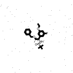 CCOc1cc(F)cc([C@H](N[S@@+]([O-])C(C)(C)C)[C@H](C)OCc2ccccc2)c1